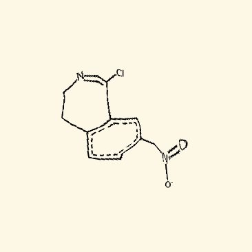 O=[N+]([O-])c1ccc2c(c1)C(Cl)=NCC2